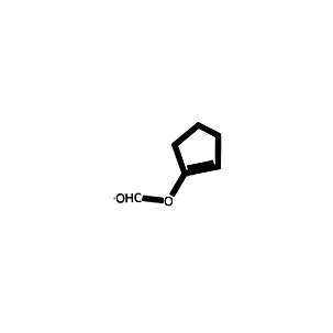 O=[C]OC1=CCCC1